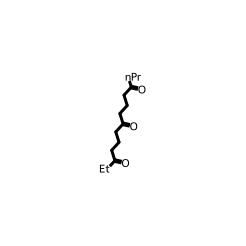 CCCC(=O)CCCC(=O)CCCC(=O)CC